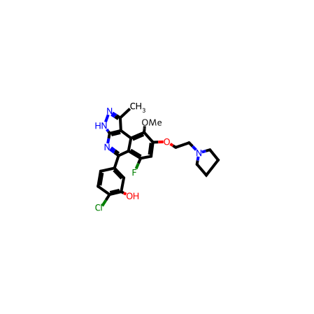 COc1c(OCCN2CCCC2)cc(F)c2c(-c3ccc(Cl)c(O)c3)nc3[nH]nc(C)c3c12